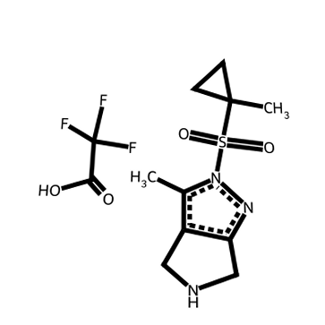 Cc1c2c(nn1S(=O)(=O)C1(C)CC1)CNC2.O=C(O)C(F)(F)F